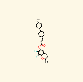 CCC1CCC(C2CCC(CCC(=O)Oc3cc4c(c(F)c3F)OC(CC)CC4)CC2)CC1